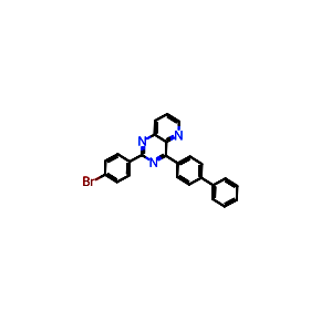 Brc1ccc(-c2nc(-c3ccc(-c4ccccc4)cc3)c3ncccc3n2)cc1